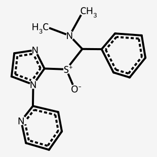 CN(C)C(c1ccccc1)[S+]([O-])c1nccn1-c1ccccn1